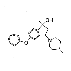 CC1CCN(CCC(C)(O)c2ccc(Oc3ccccc3)cc2)CC1